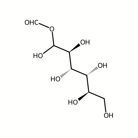 O=COC(O)[C@@H](O)[C@@H](O)[C@H](O)[C@H](O)CO